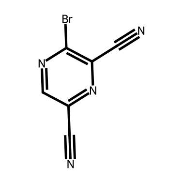 N#Cc1cnc(Br)c(C#N)n1